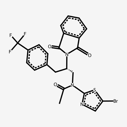 CC(=O)N(C[C@H](Cc1ccc(C(F)(F)F)cc1)N1C(=O)c2ccccc2C1=O)c1ncc(Br)s1